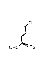 C=C(C=O)CCCCl